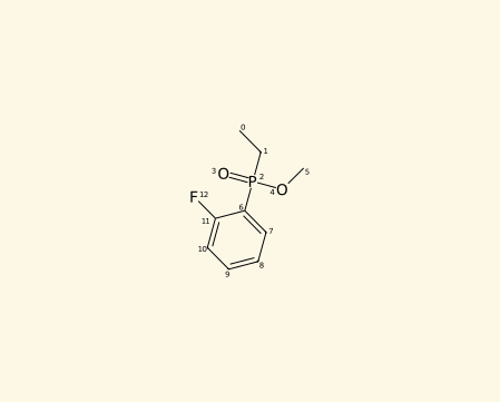 CCP(=O)(OC)c1ccccc1F